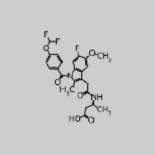 COc1cc2c(CC(=O)NC(C)CC(=O)O)c(C)n(C(=O)c3ccc(OC(F)F)cc3)c2cc1F